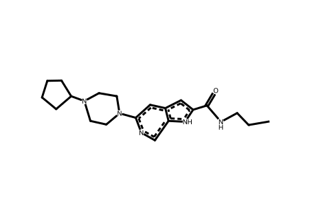 CCCNC(=O)c1cc2cc(N3CCN(C4CCCC4)CC3)ncc2[nH]1